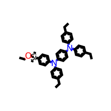 CCO[Si](C)(C)c1ccc(N(c2ccc(CC)cc2)c2ccc(N(c3ccc(CC)cc3)c3ccc(CC)cc3)cc2)cc1